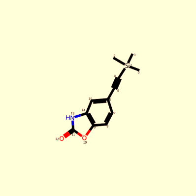 C[Si](C)(C)C#Cc1ccc2oc(=O)[nH]c2c1